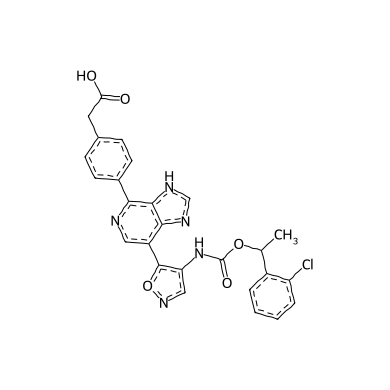 CC(OC(=O)Nc1cnoc1-c1cnc(-c2ccc(CC(=O)O)cc2)c2[nH]cnc12)c1ccccc1Cl